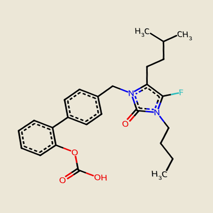 CCCCn1c(F)c(CCC(C)C)n(Cc2ccc(-c3ccccc3OC(=O)O)cc2)c1=O